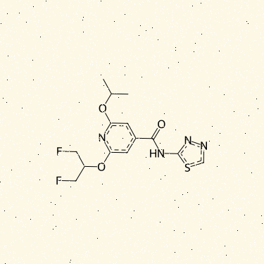 CC(C)Oc1cc(C(=O)Nc2nncs2)cc(OC(CF)CF)n1